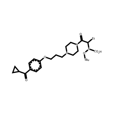 CCC(C(=O)N1CCN(CCCOc2ccc(C(=O)C3CC3)cc2)CC1)N(OC(C)(C)C)C(=O)O